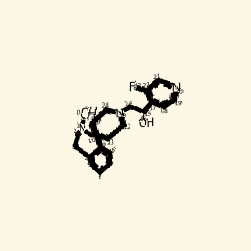 CN1CCc2ccccc2C12CCN(C[C@@H](O)c1ccncc1F)CC2